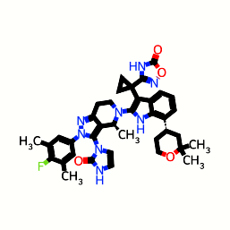 Cc1cc(-n2nc3c(c2-n2cc[nH]c2=O)[C@H](C)N(c2[nH]c4c([C@H]5CCOC(C)(C)C5)cccc4c2C2(c4noc(=O)[nH]4)CC2)CC3)cc(C)c1F